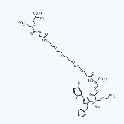 CC(C)(C)[C@H](c1cc(-c2cc(F)ccc2F)cn1Cc1ccccc1)N(CCCN)C(=O)CSC[C@H](NC(=O)CCOCCOCCOCCOCCNC(=O)CNC(=O)C(CC(=O)O)SCC(N)C(=O)O)C(=O)O